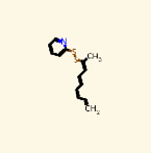 C=C\C=C/C=C/C=C(/C)SSc1ccccn1